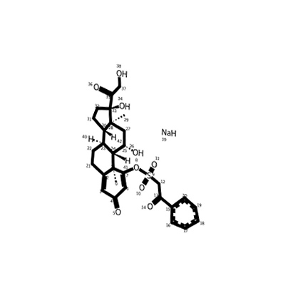 C[C@@]12C(=CC(=O)C=C1OS(=O)(=O)CC(=O)c1ccccc1)CC[C@@H]1[C@@H]2[C@@H](O)C[C@@]2(C)[C@H]1CC[C@]2(O)C(=O)CO.[NaH]